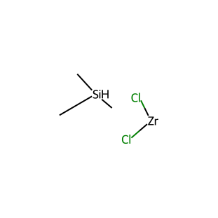 C[SiH](C)C.[Cl][Zr][Cl]